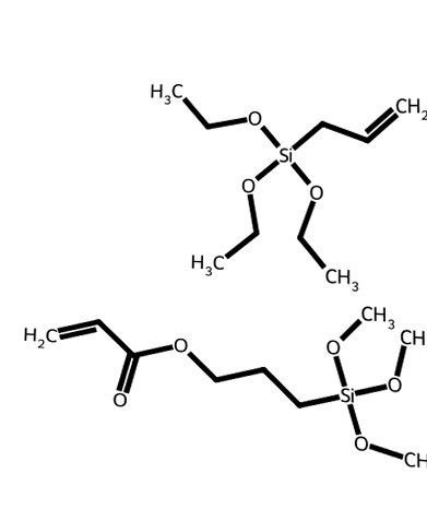 C=CC(=O)OCCC[Si](OC)(OC)OC.C=CC[Si](OCC)(OCC)OCC